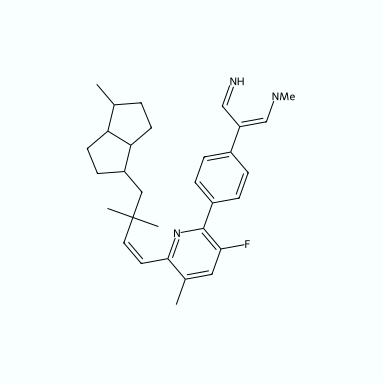 CN/C=C(\C=N)c1ccc(-c2nc(/C=C\C(C)(C)CC3CCC4C(C)CCC34)c(C)cc2F)cc1